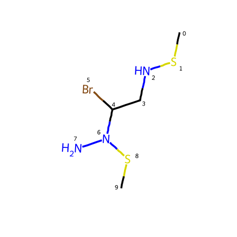 CSNCC(Br)N(N)SC